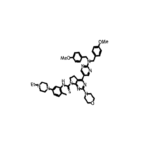 CCN1CCN(c2ccc(C)c(NC(=S)N3CCc4c(-c5cnc(N(Cc6ccc(OC)cc6)Cc6ccc(OC)cc6)nc5)nc(N5CCOCC5)nc43)c2)CC1